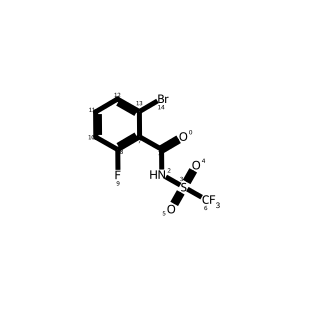 O=C(NS(=O)(=O)C(F)(F)F)c1c(F)cccc1Br